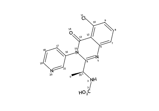 C[C@H](NC(=O)O)c1nc2cccc(Cl)c2c(=O)n1-c1cccnc1